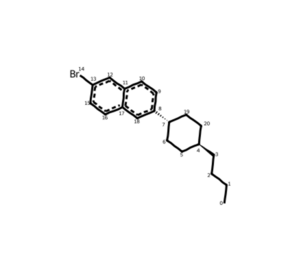 CCCC[C@H]1CC[C@H](c2ccc3cc(Br)ccc3c2)CC1